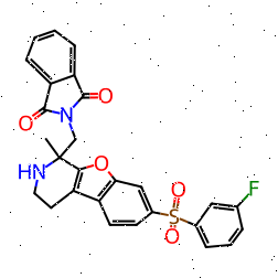 CC1(CN2C(=O)c3ccccc3C2=O)NCCc2c1oc1cc(S(=O)(=O)c3cccc(F)c3)ccc21